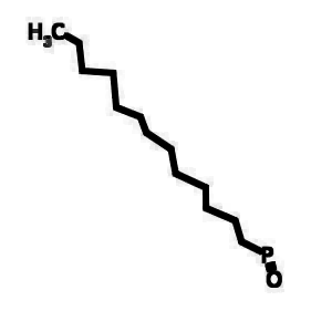 CCCCCCCCCCCCCP=O